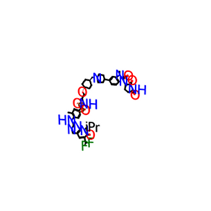 Cc1cc(S(=O)(=O)NCCO[C@H]2CC[C@H](CN3CCC(c4ccc5c(c4)n(C)c(=O)n5C4CCC(=O)NC4=O)CC3)CC2)ccc1Nc1ncc2cc(C(F)F)c(=O)n(C(C)C)c2n1